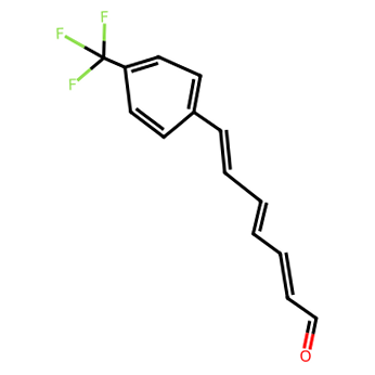 O=CC=CC=CC=Cc1ccc(C(F)(F)F)cc1